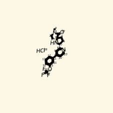 CN1CC[C@@]2(CC[C@H](c3cc(-c4cccc(OC(F)(F)F)c4)ccn3)N2)C1=O.Cl